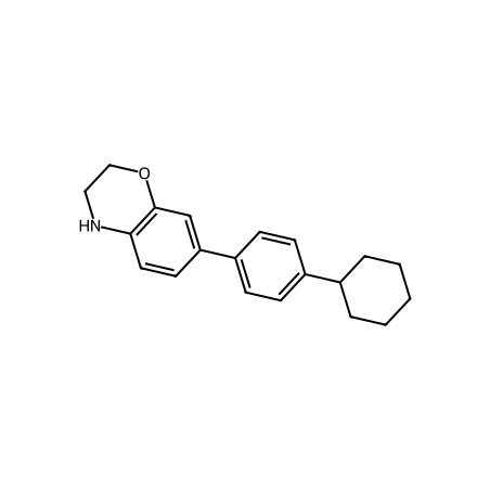 c1cc(C2CCCCC2)ccc1-c1ccc2c(c1)OCCN2